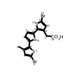 Cc1cc(Br)sc1-c1ccc(-c2sc(Br)cc2CC(=O)O)s1